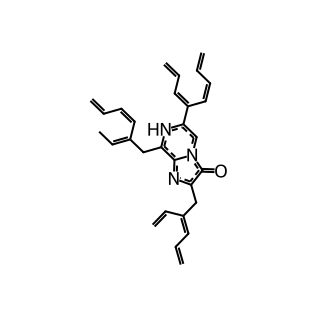 C=C/C=C\C(=C/C)Cc1[nH]c(C(/C=C\C=C)=C/C=C)cn2c(=O)c(C/C(C=C)=C/C=C)nc1-2